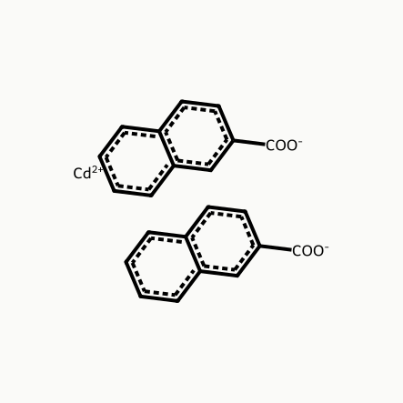 O=C([O-])c1ccc2ccccc2c1.O=C([O-])c1ccc2ccccc2c1.[Cd+2]